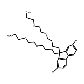 COCCOCCOCCCCC1(CCCCOCCOCCOC)c2cc(Br)ccc2-c2ccc(Br)cc21